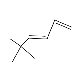 C=C/C=C/C(C)(C)C